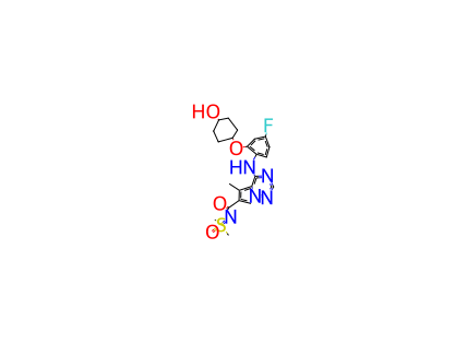 Cc1c(C(=O)N=S(C)(C)=O)cn2ncnc(Nc3ccc(F)cc3O[C@H]3CC[C@H](O)CC3)c12